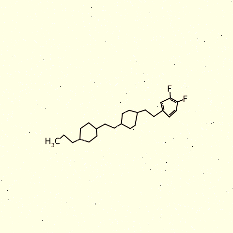 CCCC1CCC(CCC2CCC(CCc3ccc(F)c(F)c3)CC2)CC1